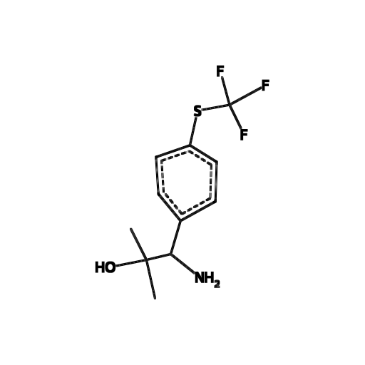 CC(C)(O)C(N)c1ccc(SC(F)(F)F)cc1